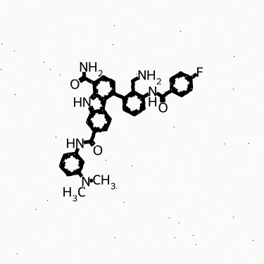 CN(C)c1cccc(NC(=O)c2ccc3c(c2)[nH]c2c(C(N)=O)ccc(-c4cccc(NC(=O)c5ccc(F)cc5)c4CN)c23)c1